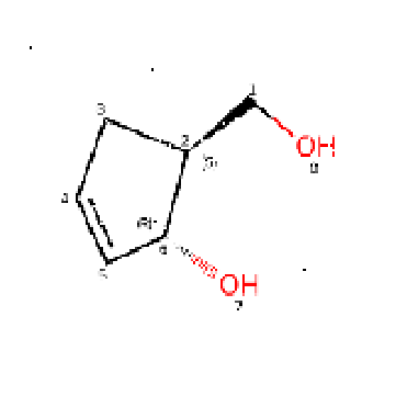 OC[C@@H]1CC=C[C@H]1O